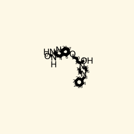 O=c1[nH]c2cc3cc(OCCCC(O)N4CCN(CC5CCCCC5)CC4)ccc3nc2[nH]1